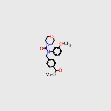 COC(=O)c1ccc(CN(C(=O)N2CCOCC2)c2cccc(OC(F)(F)F)c2)cc1